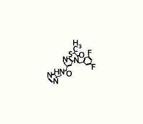 CC1Sc2ncc(C(=O)NCc3cnccn3)cc2N(Cc2cc(F)cc(F)c2)C1=O